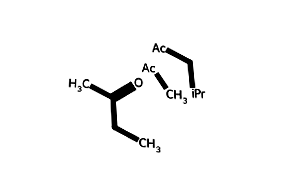 CC(=O)CC(C)C.CC(C)=O.CCC(C)=O